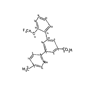 Cc1ccc(-c2cc(C(=O)O)cc(-c3ccccc3OC(F)(F)F)c2)nc1